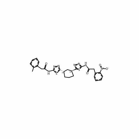 Cc1ccccc1CC(=O)Nc1nnc([C@H]2CCC[C@H](c3nnc(NC(=O)Cc4ccccc4[N+](=O)[O-])s3)C2)s1